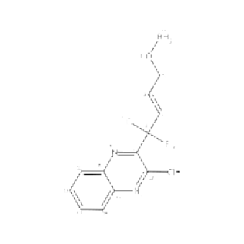 BOC/C=C/C(F)(F)c1nc2ccccc2nc1Cl